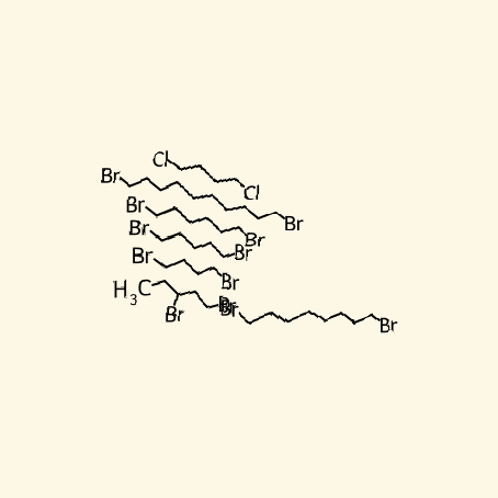 BrCCCCBr.BrCCCCCBr.BrCCCCCCBr.BrCCCCCCCCBr.BrCCCCCCCCCCBr.CCC(Br)CCBr.ClCCCCCl